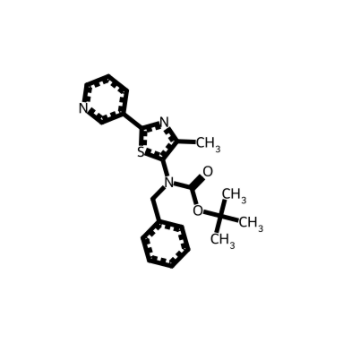 Cc1nc(-c2cccnc2)sc1N(Cc1ccccc1)C(=O)OC(C)(C)C